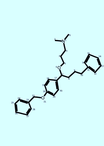 CN(C)CCCOC(CCCc1ccccc1)c1ccc(OCc2ccccc2)cc1